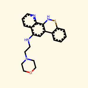 c1ccc2c(c1)SNc1c-2cc(NCCN2CCOCC2)c2cccnc12